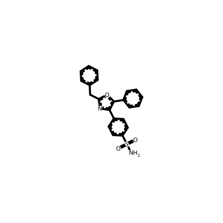 NS(=O)(=O)c1ccc(-c2nc(Cc3ccccc3)oc2-c2ccccc2)cc1